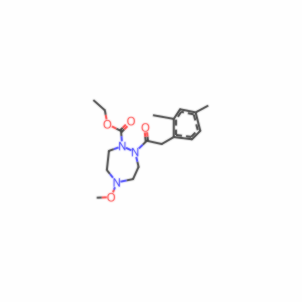 CCOC(=O)N1CCN(OC)CCN1C(=O)Cc1ccc(C)cc1C